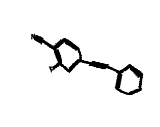 N#Cc1ccc(C#Cc2ccccc2)cc1F